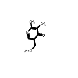 COCC1C=NC(C)=C(C)C1=O